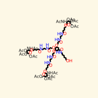 CC(=O)N[C@H]1[C@H](OCCCCC(=O)NCCCNC(=O)CCO[C@@H]2[C@H](OCCC(=O)NCCCNC(=O)CCCCO[C@@H]3O[C@H](COC(C)=O)[C@H](OC(C)=O)[C@H](OC(C)=O)[C@H]3NC(C)=O)C=C(C(=O)NCCCCCCO)C[C@H]2OCCC(=O)NCCCNC(=O)CCCCO[C@@H]2O[C@H](COC(C)=O)[C@H](OC(C)=O)[C@H](OC(C)=O)[C@H]2NC(C)=O)O[C@H](COC(C)=O)[C@H](OC(C)=O)[C@@H]1OC(C)=O